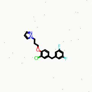 Fc1cc(F)cc(Cc2ccc(OCCCn3cccn3)c(Cl)c2)c1